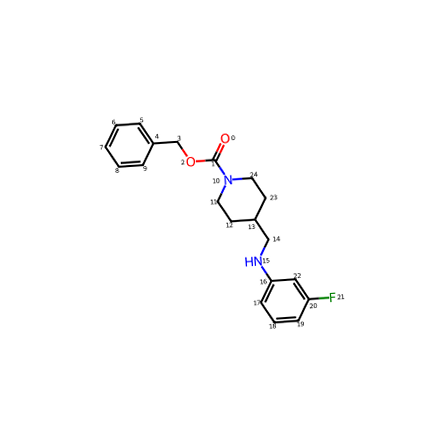 O=C(OCc1ccccc1)N1CCC(CNc2cccc(F)c2)CC1